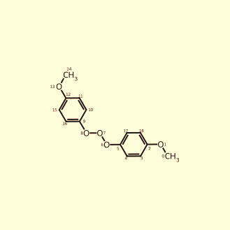 COc1ccc(OOOc2ccc(OC)cc2)cc1